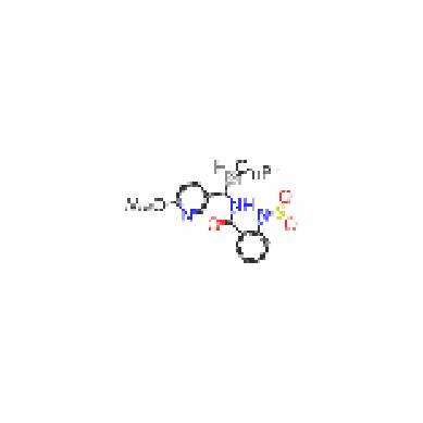 CCC(NC(=O)c1ccccc1N=S(=O)=O)c1ccc(OC)nc1.CCCC